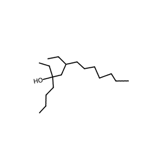 CCCCCCCC(CC)CC(O)(CC)CCCC